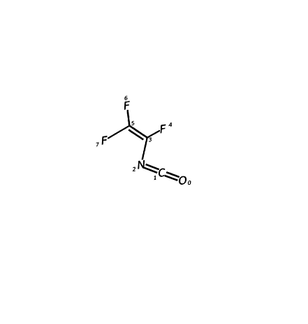 O=C=NC(F)=C(F)F